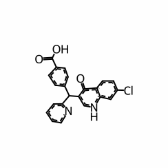 O=C(O)c1ccc(C(c2ccccn2)c2c[nH]c3cc(Cl)ccc3c2=O)cc1